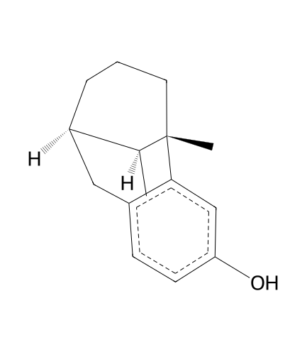 C[C@H]1[C@@H]2CCC[C@]1(C)c1cc(O)ccc1C2